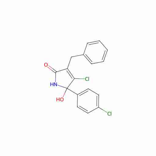 O=C1NC(O)(c2ccc(Cl)cc2)C(Cl)=C1Cc1ccccc1